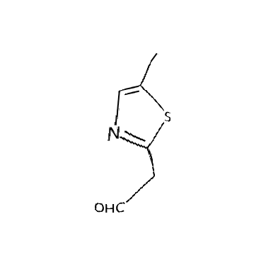 Cc1cnc(CC=O)s1